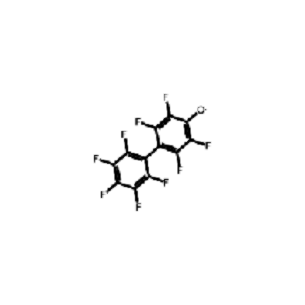 [O]c1c(F)c(F)c(-c2c(F)c(F)c(F)c(F)c2F)c(F)c1F